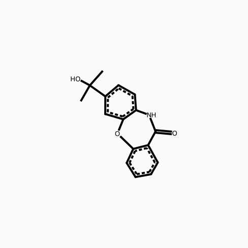 CC(C)(O)c1ccc2c(c1)Oc1ccccc1C(=O)N2